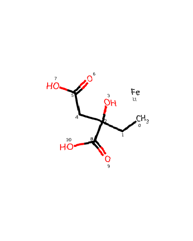 CCC(O)(CC(=O)O)C(=O)O.[Fe]